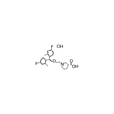 Cc1cc(F)ccc1C(=COCCN1CCC[C@@H](C(=O)O)C1)c1ccc(F)cc1C.Cl